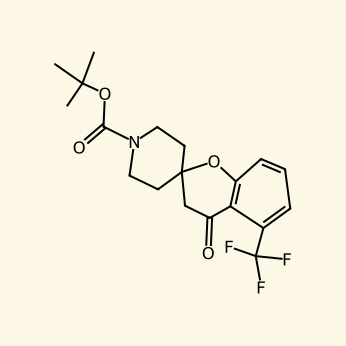 CC(C)(C)OC(=O)N1CCC2(CC1)CC(=O)c1c(cccc1C(F)(F)F)O2